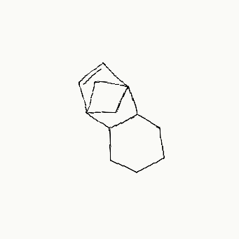 C1=CC23CC1(C2)C1CCCCC13